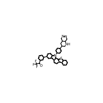 O=C(c1cccc(-c2ccc3c(c2)c2ccc4c5ccccc5sc4c2n3-c2ccc(C3CNC4CN=NCC4C3)cc2)c1)C(F)(F)F